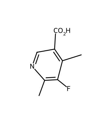 Cc1ncc(C(=O)O)c(C)c1F